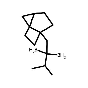 BC(B)(CC12CCC3CC31CC2)C(C)C